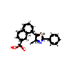 Cc1nc(-c2ccccc2)sc1-c1cccc2ccc(C(=O)O)cc12